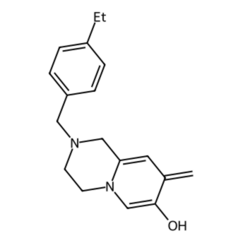 C=C1C=C2CN(Cc3ccc(CC)cc3)CCN2C=C1O